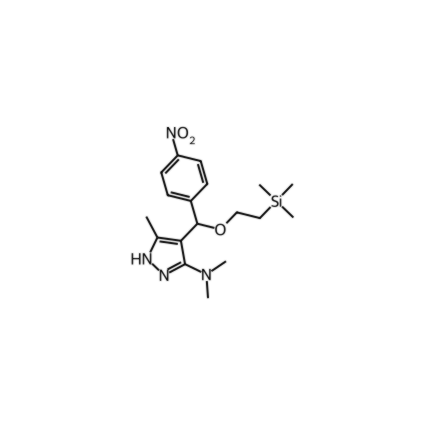 Cc1[nH]nc(N(C)C)c1C(OCC[Si](C)(C)C)c1ccc([N+](=O)[O-])cc1